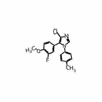 COc1ccc(-c2c(Cl)ncn2-c2ccc(C)cc2)cc1F